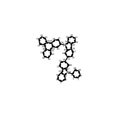 c1ccc(-n2c3ccccc3c3ccc(-c4ccc5c6ccccc6n(-c6ccc7c8ccccc8c8ccccc8c7c6)c5c4)cc32)cc1